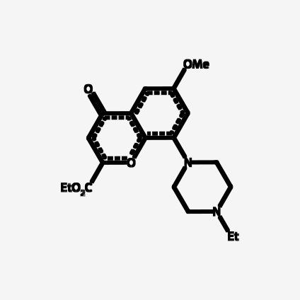 CCOC(=O)c1cc(=O)c2cc(OC)cc(N3CCN(CC)CC3)c2o1